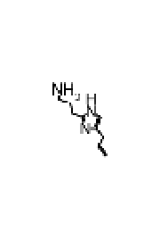 C=CCc1c[nH]c(CCCN)n1